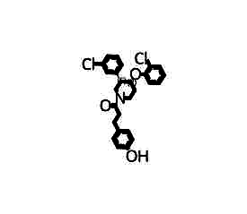 O=C(CCc1ccc(O)cc1)N1CC[C@@H](Oc2ccccc2Cl)[C@@H](c2cccc(Cl)c2)C1